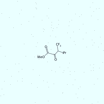 COC(=O)C(=O)C(C(C)C)C(F)(F)F